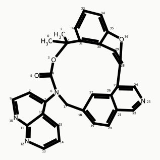 CC1(C)OC(=O)N(c2ccnc3ncccc23)Cc2ccc3cncc(c3c2)-c2cc3c1cccc3o2